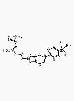 C[C@@H](CCCn1cc2c(n1)CCN(c1ncc(C(F)(F)F)cn1)C2)OC(N)=O